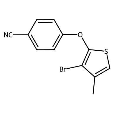 Cc1csc(Oc2ccc(C#N)cc2)c1Br